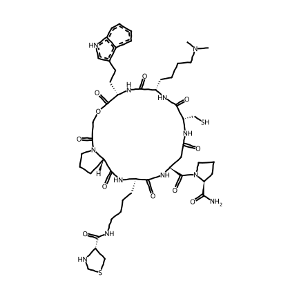 CN(C)CCCC[C@@H]1NC(=O)[C@H](CS)NC(=O)C[C@@H](C(=O)N2CCC[C@H]2C(N)=O)NC(=O)[C@H](CCCCNC(=O)[C@@H]2CSCN2)NC(=O)[C@@H]2CCCN2C(=O)COC(=O)[C@H](CCc2c[nH]c3ccccc23)NC1=O